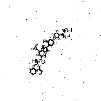 C/C=C(/C)c1ccccc1CCNC(=O)c1cc(C2CC2)n2nc(-c3ccc(N4CC[C@H](/C(N)=N/O)C4)cc3F)cc2n1